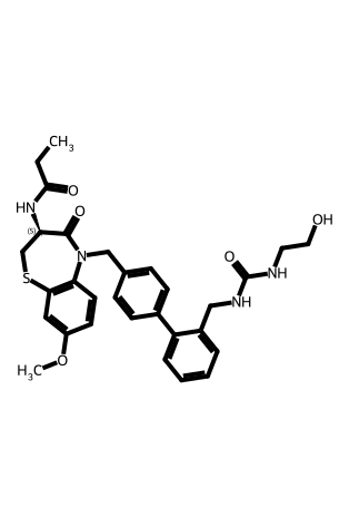 CCC(=O)N[C@@H]1CSc2cc(OC)ccc2N(Cc2ccc(-c3ccccc3CNC(=O)NCCO)cc2)C1=O